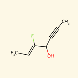 CC#CC(O)/C(F)=C/C(F)(F)F